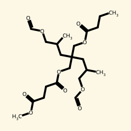 CCCC(=O)OCC(COC(=O)CCC(=O)OC)(CC(C)COC=O)CC(C)COC=O